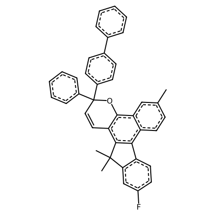 Cc1ccc2c3c(c4c(c2c1)OC(c1ccccc1)(c1ccc(-c2ccccc2)cc1)C=C4)C(C)(C)c1cc(F)ccc1-3